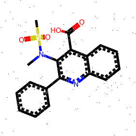 CN(c1c(-c2ccccc2)nc2ccccc2c1C(=O)O)S(C)(=O)=O